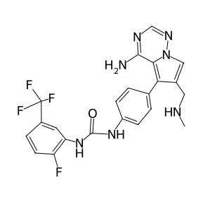 CNCc1cn2ncnc(N)c2c1-c1ccc(NC(=O)Nc2cc(C(F)(F)F)ccc2F)cc1